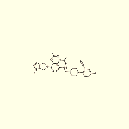 CC(=O)OC(C(=O)N1Cc2cnn(C)c2C1)[C@@H](OC(C)=O)C(=O)NCC1CCN(c2ccc(F)cc2C#N)CC1